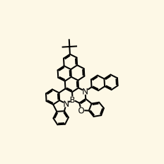 CC(C)(C)c1cc2ccc3c4c5c(c6ccc(c1)c2c36)N(c1ccc2ccccc2c1)c1c(oc2ccccc12)B5n1c2ccccc2c2cccc-4c21